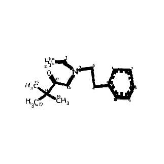 CCN(CCc1ccccc1)CC(=O)C(C)(C)C